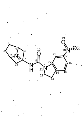 CN1C2CCC1CC(NC(=O)N1CCc3ccc([N+](=O)[O-])cc31)C2